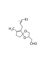 CC/C=C\CC1=C(C)CCC12OCC(CC=O)O2